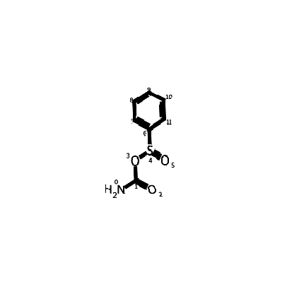 NC(=O)OS(=O)c1ccccc1